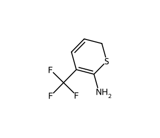 NC1=C(C(F)(F)F)C=CCS1